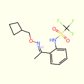 C/C(=N\OCC1CCC1)c1ccccc1NS(=O)(=O)C(F)(F)F